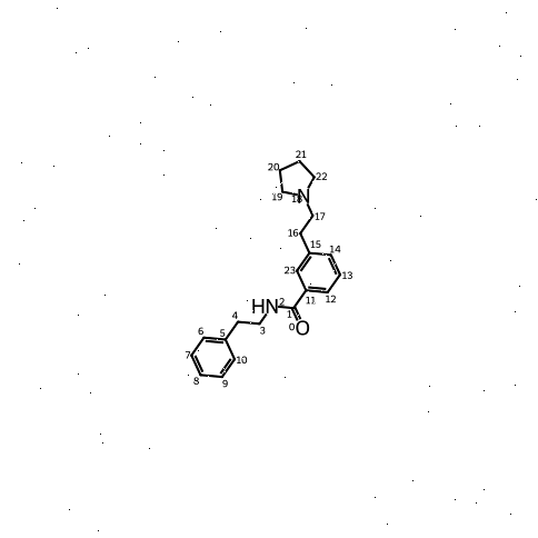 O=C(NCCc1ccccc1)c1cccc(CCN2CCCC2)c1